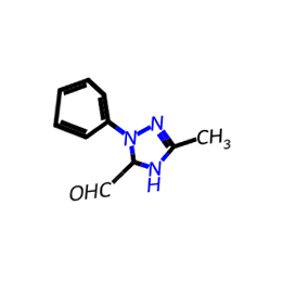 CC1=NN(c2ccccc2)C(C=O)N1